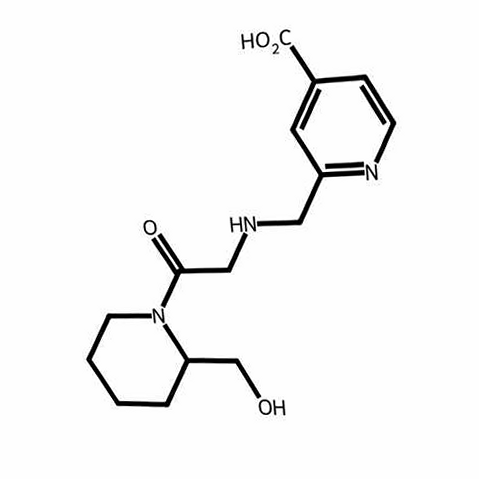 O=C(O)c1ccnc(CNCC(=O)N2CCCCC2CO)c1